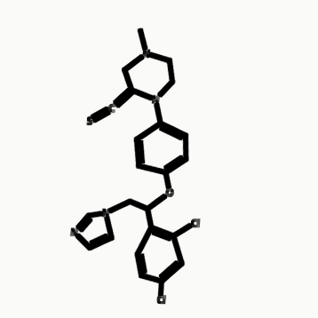 CN1CCN(c2ccc(OC(Cn3ccnc3)c3ccc(Cl)cc3Cl)cc2)C(=C=S)C1